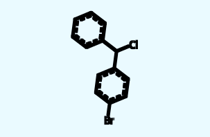 ClC(c1ccccc1)c1ccc(Br)cc1